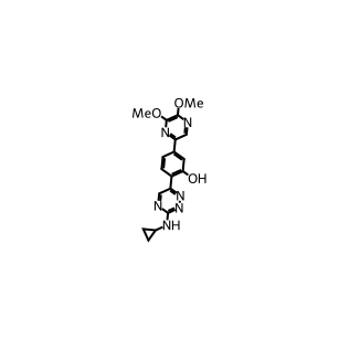 COc1ncc(-c2ccc(-c3cnc(NC4CC4)nn3)c(O)c2)nc1OC